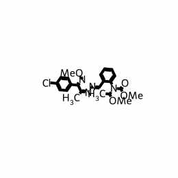 CON=C(C(C)=NN=Cc1ccccc1N(C(=O)OC)C(C)OC)c1ccc(Cl)cc1